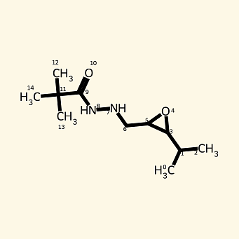 CC(C)C1OC1CNNC(=O)C(C)(C)C